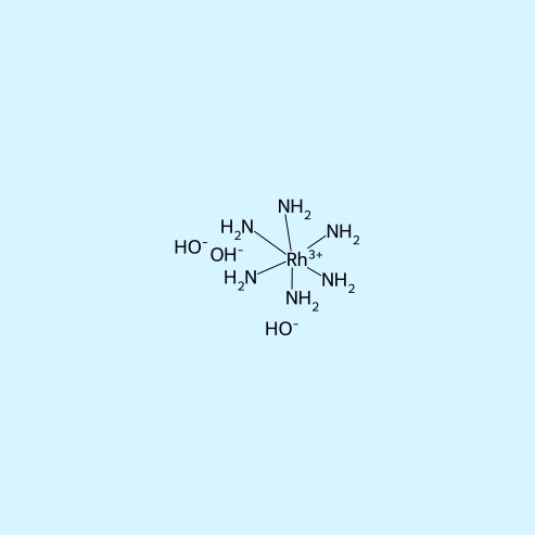 [NH2][Rh+3]([NH2])([NH2])([NH2])([NH2])[NH2].[OH-].[OH-].[OH-]